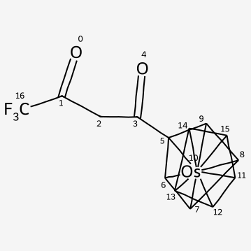 O=C(CC(=O)[C]12[CH]3[CH]4[CH]5[CH]1[Os]45321678[CH]2[CH]1[CH]6[CH]7[CH]28)C(F)(F)F